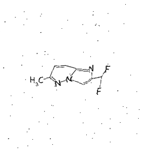 Cc1ccc2nc(C(F)F)cn2n1